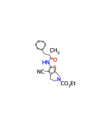 CCOC(=O)N1CCc2c(sc(NC(=O)[C@@H](C)Cc3ccccc3)c2C#N)C1